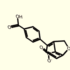 O=C(O)c1ccc(-c2ccc3c([N+](=O)[O-])c2CO3)cc1